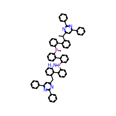 CC(c1cc(-c2ccccc2)nc(-c2ccccc2)n1)c1ccccc1-c1ccccc1P(C)c1ccccc1-c1ccccc1P(N)c1ccccc1-c1ccccc1Cc1cc(-c2ccccc2)nc(-c2ccccc2)n1